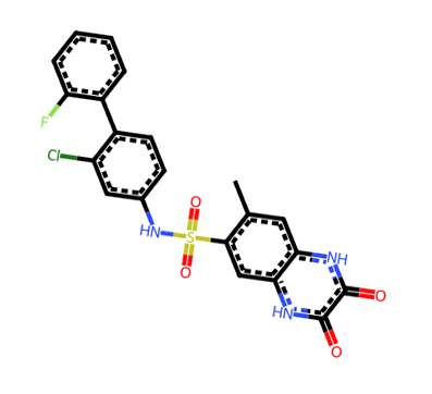 Cc1cc2[nH]c(=O)c(=O)[nH]c2cc1S(=O)(=O)Nc1ccc(-c2ccccc2F)c(Cl)c1